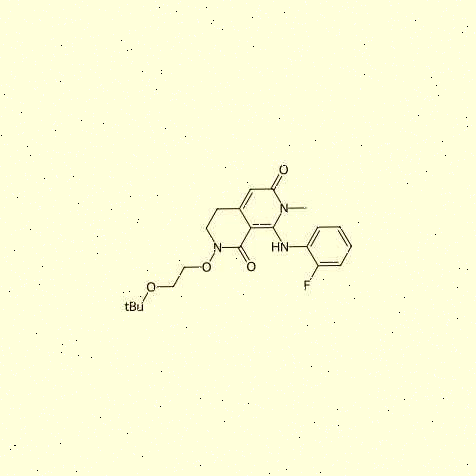 Cn1c(Nc2ccccc2F)c2c(cc1=O)CCN(OCCOC(C)(C)C)C2=O